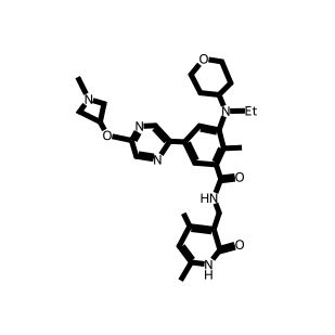 CCN(c1cc(-c2cnc(OC3CN(C)C3)cn2)cc(C(=O)NCc2c(C)cc(C)[nH]c2=O)c1C)C1CCOCC1